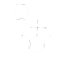 CC(Oc1ccccc1)(C(N)=O)c1ccccc1C(F)(F)F